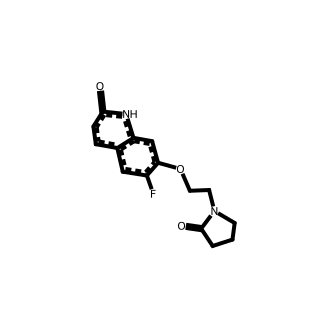 O=C1CCCN1CCOc1cc2[nH]c(=O)ccc2cc1F